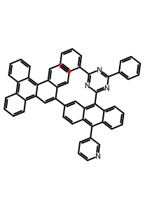 c1ccc(-c2nc(-c3ccccc3)nc(-c3c4ccccc4c(-c4cccnc4)c4ccc(-c5cc6c7ccccc7c7ccccc7c6c6ccccc56)cc34)n2)cc1